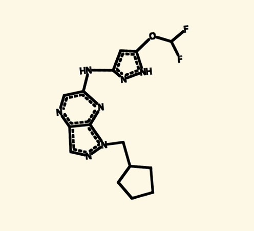 FC(F)Oc1cc(Nc2cnc3cnn(CC4CCCC4)c3n2)n[nH]1